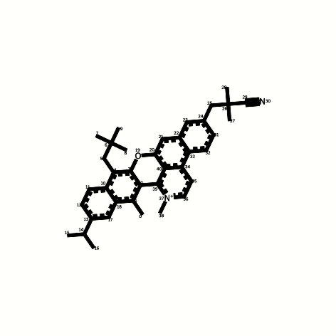 Cc1c2c(c(CC(C)(C)C)c3ccc(C(C)C)cc13)Oc1cc3cc(CC(C)(C)C#N)ccc3c3cc[n+](C)c-2c13